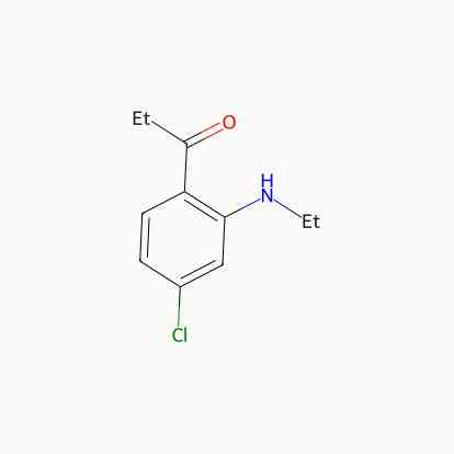 CCNc1cc(Cl)ccc1C(=O)CC